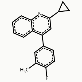 Cc1cc(-c2cc(C3CC3)nc3ccccc23)ccc1F